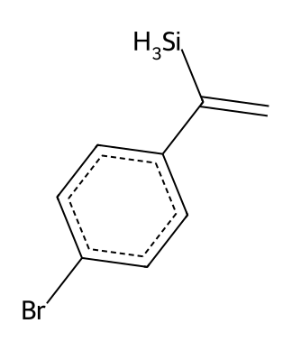 C=C([SiH3])c1ccc(Br)cc1